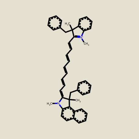 CN1/C(=C/C=C/C=C/C=C/C=C/C2=[N+](C)c3ccccc3C2(C)Cc2ccccc2)C(C)(Cc2ccccc2)c2c1ccc1ccccc21